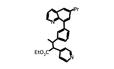 CCOC(=O)C(c1ccncc1)C(C)c1cccc(-c2cc(C(C)C)cc3cccnc23)c1